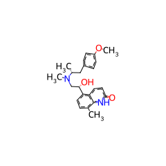 COc1ccc(C[C@@H](C)N(C)C[C@H](O)c2ccc(C)c3[nH]c(=O)ccc23)cc1